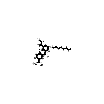 CCCCCCCCOc1cc(C(=O)CC)c2oc3ccc(C(=O)O)cc3c(=O)c2c1